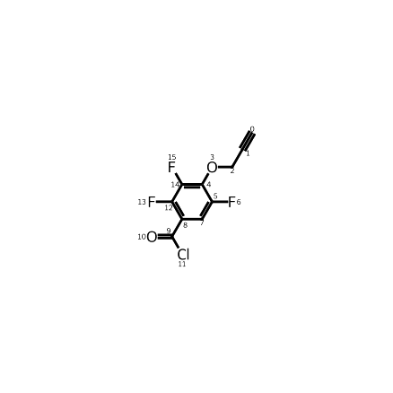 C#CCOc1c(F)cc(C(=O)Cl)c(F)c1F